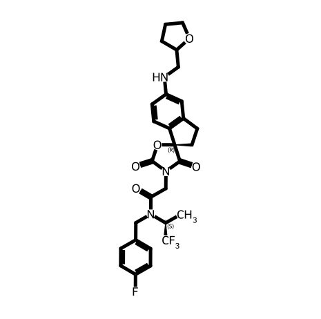 C[C@H](N(Cc1ccc(F)cc1)C(=O)CN1C(=O)O[C@@]2(CCc3cc(NCC4CCCO4)ccc32)C1=O)C(F)(F)F